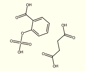 O=C(O)CCC(=O)O.O=C(O)c1ccccc1OS(=O)(=O)O